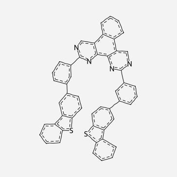 c1cc(-c2ccc3sc4ccccc4c3c2)cc(-c2ncc3c4ccccc4c4cnc(-c5cccc(-c6ccc7sc8ccccc8c7c6)c5)nc4c3n2)c1